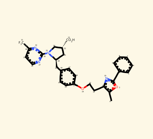 Cc1oc(-c2ccccc2)nc1CCOc1ccc(C[C@@H]2C[C@@H](C(=O)O)CN2c2nccc(C(F)(F)F)n2)cc1